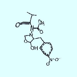 CC(C)C(=C=O)N(C(=O)O)N1COC(O)C1Cc1ccc([N+](=O)[O-])cc1